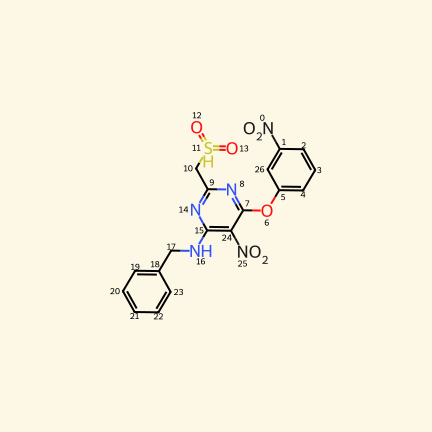 O=[N+]([O-])c1cccc(Oc2nc(C[SH](=O)=O)nc(NCc3ccccc3)c2[N+](=O)[O-])c1